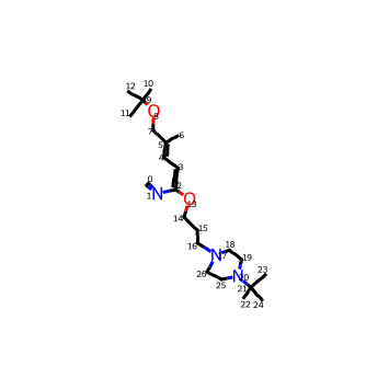 C=N/C(=C\C=C(/C)COC(C)(C)C)OCCCN1CCN(C(C)(C)C)CC1